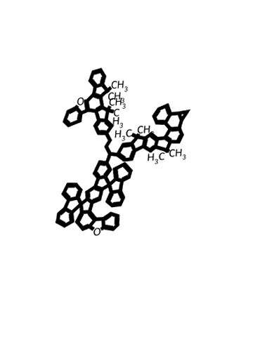 CC1(C)c2cc(C(CCc3ccc4c(c3)C(C)(C)c3c5c(c6oc7ccccc7c6c3-4)-c3ccccc3C5(C)C)c3ccc4c(c3)C3(c5ccccc5-c5ccccc53)c3cc5c(cc3-4)C3(c4ccccc4-c4ccccc43)c3ccc4oc6ccccc6c4c3-5)ccc2-c2cc3c(cc21)-c1c(ccc2c1-c1ccccc1C1CC21)C3(C)C